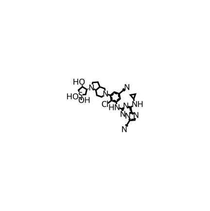 N#Cc1cc(Nc2nc(NC3CC3)c3ncc(C#N)n3n2)c(Cl)c(N2CCC3C(CCN3[C@@H]3CS(O)(O)C[C@H]3O)C2)c1